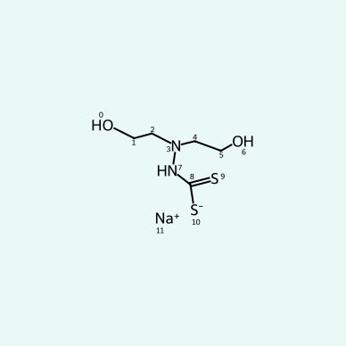 OCCN(CCO)NC(=S)[S-].[Na+]